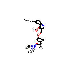 CCCCN(CCCC)C(=O)C(=Cc1ccc(OCc2cnc3ccc(OC)cc3c2OC(C)C)cc1)C(C)=O